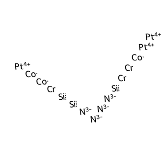 [Co].[Co].[Co].[Cr].[Cr].[Cr].[N-3].[N-3].[N-3].[N-3].[Pt+4].[Pt+4].[Pt+4].[Si].[Si].[Si]